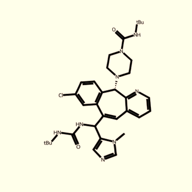 Cn1cncc1C(NC(=O)NC(C)(C)C)C1=Cc2cccnc2[C@@H](N2CCN(C(=O)NC(C)(C)C)CC2)c2ccc(Cl)cc21